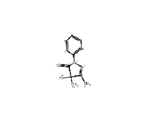 CC1=NN(c2ccccc2)C(=O)C1(C)Br